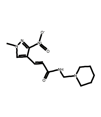 Cn1cc(/C=C/C(=O)NCN2CCCCC2)c([N+](=O)[O-])n1